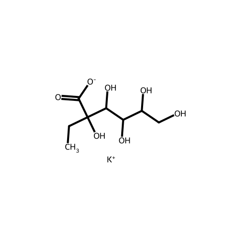 CCC(O)(C(=O)[O-])C(O)C(O)C(O)CO.[K+]